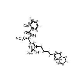 [2H]C([2H])([2H])N(CCCCc1ccc2c(n1)NCCC2)CCC(NC(=O)c1cccc(F)c1Cl)C(=O)O